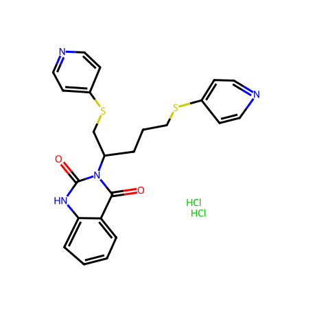 Cl.Cl.O=c1[nH]c2ccccc2c(=O)n1C(CCCSc1ccncc1)CSc1ccncc1